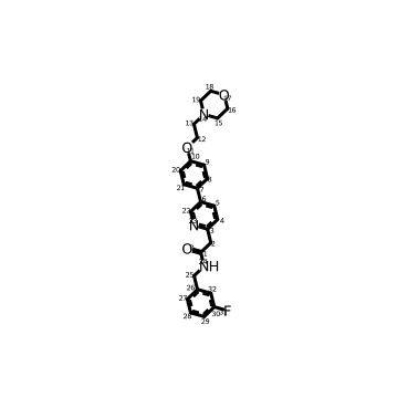 O=C(Cc1ccc(-c2ccc(OCCN3CCOCC3)cc2)cn1)NCc1cccc(F)c1